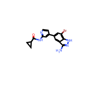 Nc1n[nH]c2c(Br)cc(-c3ccnc(NC(=O)C4CC4)c3)cc12